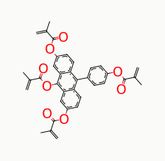 C=C(C)C(=O)Oc1ccc(-c2c3ccc(OC(=O)C(=C)C)cc3c(OC(=O)C(=C)C)c3cc(OC(=O)C(=C)C)ccc23)cc1